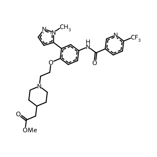 COC(=O)CC1CCN(CCOc2ccc(NC(=O)c3ccc(C(F)(F)F)nc3)cc2-c2ccnn2C)CC1